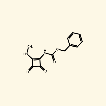 CNc1c(NC(=O)OCc2ccccc2)c(=O)c1=O